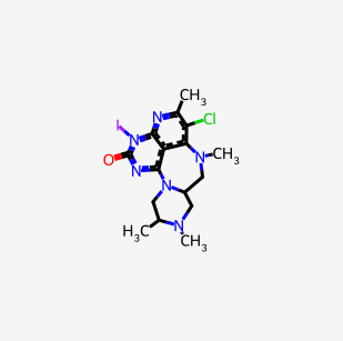 Cc1nc2c3c(nc(=O)n2I)N2CC(C)N(C)CC2CN(C)c3c1Cl